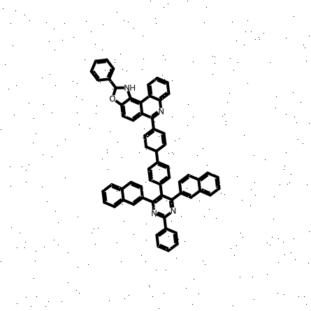 C1=CC(c2ccc(-c3c(-c4ccc5ccccc5c4)nc(-c4ccccc4)nc3-c3ccc4ccccc4c3)cc2)CC=C1c1nc2ccccc2c2c3c(ccc12)OC(c1ccccc1)N3